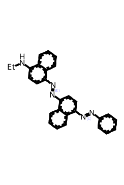 CCNc1ccc(/N=N/c2ccc(/N=N/c3ccccc3)c3ccccc23)c2ccccc12